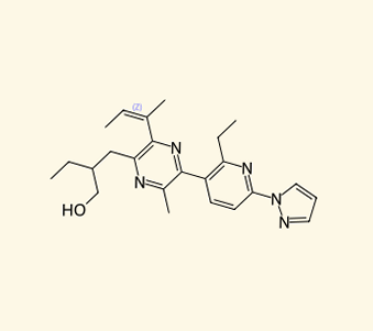 C/C=C(/C)c1nc(-c2ccc(-n3cccn3)nc2CC)c(C)nc1CC(CC)CO